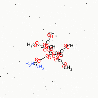 COC(=O)C=Cc1ccc(C(=O)OCC(C)(COC(=O)c2ccc(C=CC(=O)OC)cc2)C(=O)Oc2cc(OC(=O)C(C)(COC(=O)c3ccc(C=CC(=O)OC)cc3)COC(=O)c3ccc(C=CC(=O)OC)cc3)cc(C(=O)OCCCCCCOC(=O)c3cc(N)cc(N)c3)c2)cc1